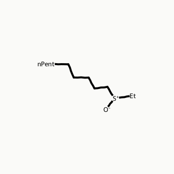 CCCCCCCCCC[S+]([O-])CC